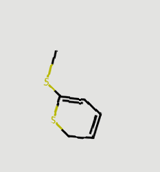 CSC1=CC=CCS1